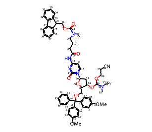 COc1ccc(C(OC[C@H]2O[C@@H](n3ccc(NC(=O)CCCN(C)C(=O)OCC4c5ccccc5-c5ccccc54)nc3=O)C[C@H]2OC(OCCC#N)N(C)C(C)C)(c2ccccc2)c2ccc(OC)cc2)cc1